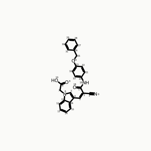 N#CC(=Cc1cn(CC(=O)O)c2ccccc12)C(=O)Nc1ccc(OCc2ccccc2)cc1